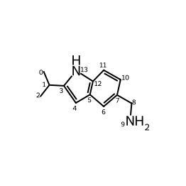 CC(C)c1cc2cc(CN)ccc2[nH]1